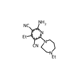 CCc1c(C#N)c(N)nc(N2CCCN(CC)CC2)c1C#N